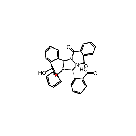 O=C(O)c1ccccc1[C@H]1n2c(=O)c3ccccc3c(=O)n2[C@H](c2ccccc2C(=O)O)P1c1ccccc1